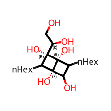 CCCCCCC1C(O)[C@@]2(O)C(CCCCCC)[C@@](O)([C@H](O)CO)[C@@]12O